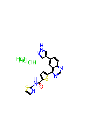 Cl.Cl.Cl.O=C(Nc1nccs1)c1ccc(-c2ncnc3ccc(-c4cn[nH]c4)cc23)s1